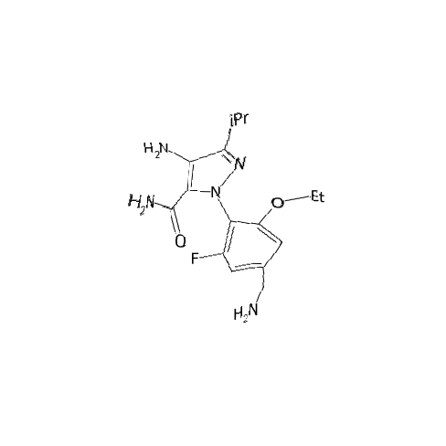 CCOc1cc(CN)cc(F)c1-n1nc(C(C)C)c(N)c1C(N)=O